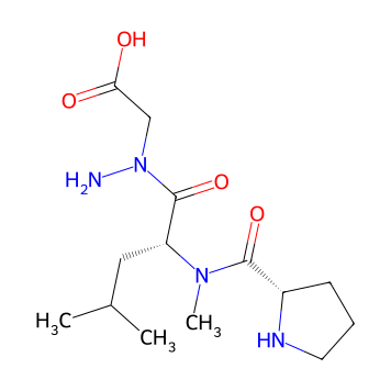 CC(C)C[C@H](C(=O)N(N)CC(=O)O)N(C)C(=O)[C@@H]1CCCN1